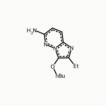 CCCCOc1c(CC)nc2ccc(N)nn12